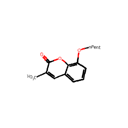 CCCCCOc1cccc2cc(C(=O)O)c(=O)oc12